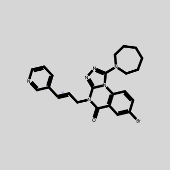 O=c1c2cc(Br)ccc2n2c(N3CCCCCC3)nnc2n1C/C=C/c1cccnc1